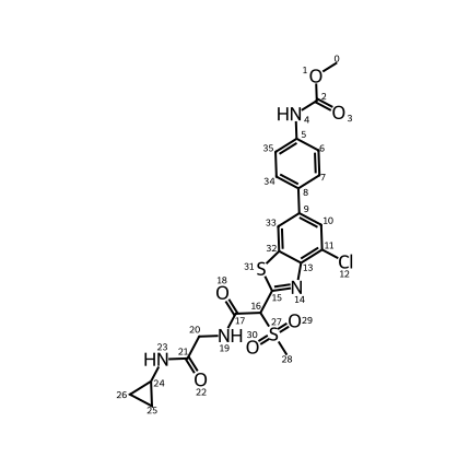 COC(=O)Nc1ccc(-c2cc(Cl)c3nc(C(C(=O)NCC(=O)NC4CC4)S(C)(=O)=O)sc3c2)cc1